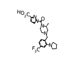 C[C@H]1CN(Cc2ccc(C(F)(F)F)cc2N2CCCC2)CCN1C(=O)n1ccc(C(=O)O)n1